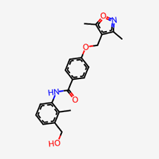 Cc1noc(C)c1COc1ccc(C(=O)Nc2cccc(CO)c2C)cc1